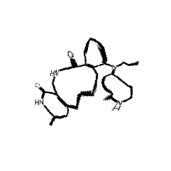 CCN(c1cccc2c1C/C=C/Cc1cc(C)[nH]c(=O)c1CNC2=O)C1CCNCC1